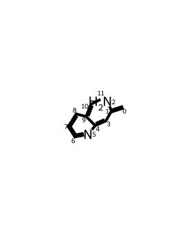 C=C(N)/C=C1/N=C=C=C/C1=C/C